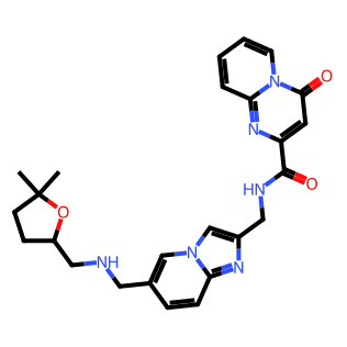 CC1(C)CCC(CNCc2ccc3nc(CNC(=O)c4cc(=O)n5ccccc5n4)cn3c2)O1